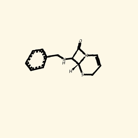 O=C1C(NCc2ccccc2)[C@H]2SCC=CN12